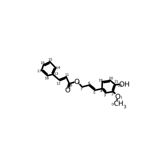 COc1cc(/C=C/COC(=O)C=Cc2ccccc2)ccc1O